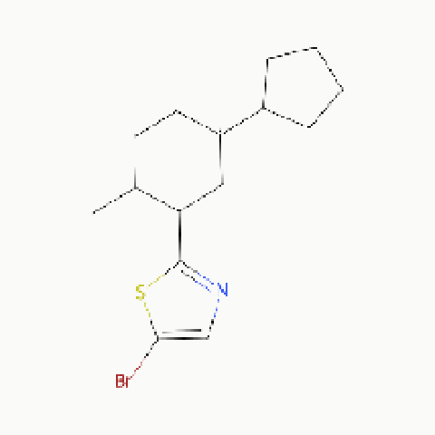 CC1CC[C](C2CCCC2)CC1c1ncc(Br)s1